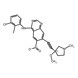 CO[C@@]1(C#Cc2cc3ncnc(Nc4cccc(Cl)c4F)c3cc2[N+](=O)[O-])CCN(C)C1